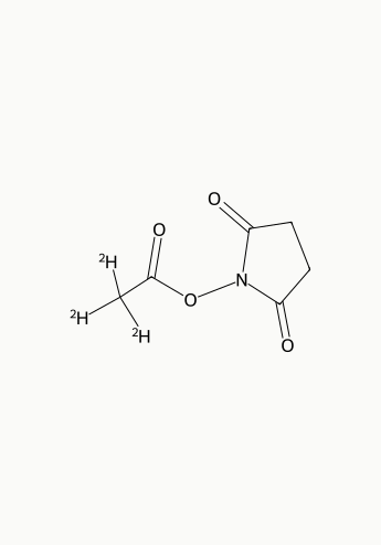 [2H]C([2H])([2H])C(=O)ON1C(=O)CCC1=O